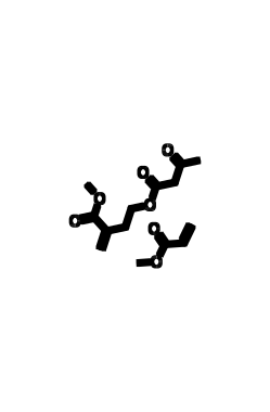 C=C(CCOC(=O)CC(C)=O)C(=O)OC.C=CC(=O)OC